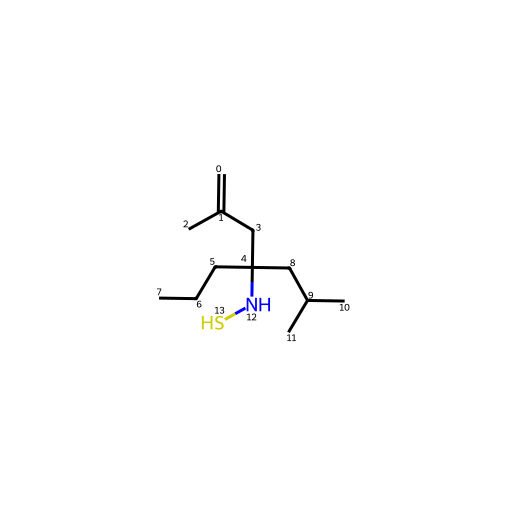 C=C(C)CC(CCC)(CC(C)C)NS